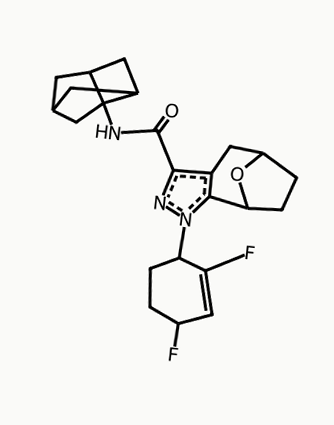 O=C(NC12CC3CC1CC2C3)c1nn(C2CCC(F)C=C2F)c2c1CC1CCC2O1